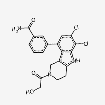 NC(=O)c1cccc(-c2cc(Cl)c(Cl)c3[nH]c4c(c23)CN(C(=O)CO)CC4)c1